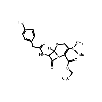 CCCCN(C)C1=C(C(=O)OCC(Cl)(Cl)Cl)N2C(=O)C(NC(=O)Cc3ccc(O)cc3)[C@@H]2SC1